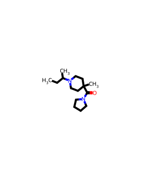 CCC(C)N1CCC(C)(C(=O)N2CCCC2)CC1